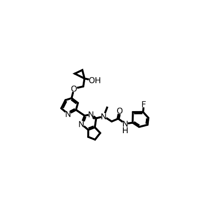 CN(CC(=O)Nc1cccc(F)c1)c1nc(-c2cc(OCC3(O)CC3)ccn2)nc2c1CCC2